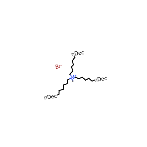 CCCCCCCCCCCCCCCC[N+](C)(CCCCCCCCCCCCCCCC)CCCCCCCCCCCCCCCC.[Br-]